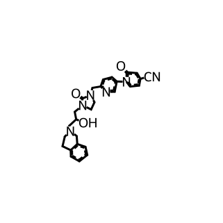 N#Cc1ccn(-c2ccc(CN3CCN(CC(O)CN4CCc5ccccc5C4)C3=O)nc2)c(=O)c1